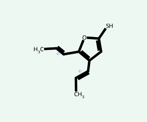 C/C=C/c1cc(S)oc1/C=C/C